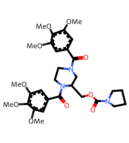 COc1cc(C(=O)N2CCN(C(=O)c3cc(OC)c(OC)c(OC)c3)C(COC(=O)N3CCCC3)C2)cc(OC)c1OC